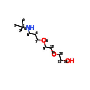 CC(C)(C)NCCCOCCOCCO